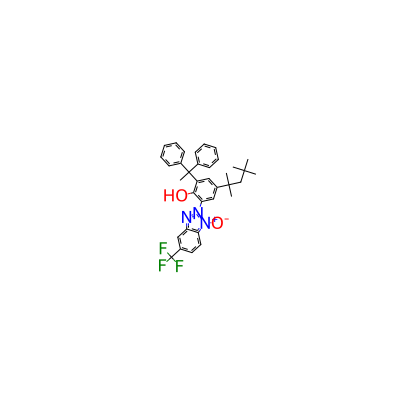 CC(C)(C)CC(C)(C)c1cc(-n2nc3cc(C(F)(F)F)ccc3[n+]2[O-])c(O)c(C(C)(c2ccccc2)c2ccccc2)c1